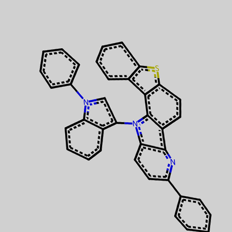 c1ccc(-c2ccc3c(n2)c2ccc4sc5ccccc5c4c2n3-c2cn(-c3ccccc3)c3ccccc23)cc1